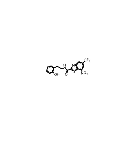 O=C(NCCc1ccccc1O)c1nc2cc(C(F)(F)F)cc([N+](=O)[O-])c2s1